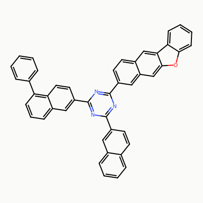 c1ccc(-c2cccc3cc(-c4nc(-c5ccc6ccccc6c5)nc(-c5ccc6cc7c(cc6c5)oc5ccccc57)n4)ccc23)cc1